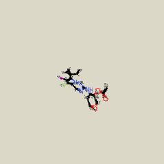 CCC1(c2c(I)c(F)c3cnc(NC4CCOCC4OC(C)=O)nn23)CC1